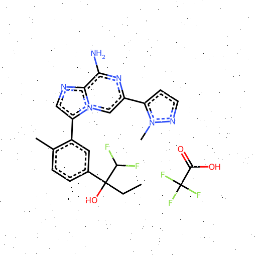 CCC(O)(c1ccc(C)c(-c2cnc3c(N)nc(-c4ccnn4C)cn23)c1)C(F)F.O=C(O)C(F)(F)F